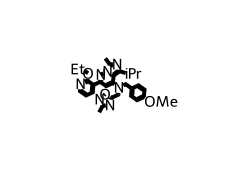 CCOc1ncccc1-c1cc(N(Cc2ccc(OC)cc2)Cc2nc(C)no2)c2c(C(C)C)nc(C)n2n1